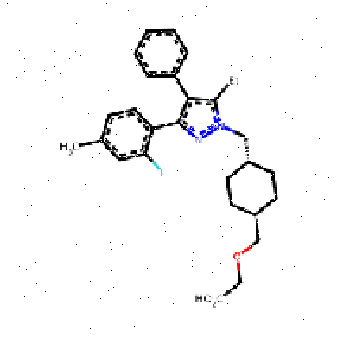 CCc1c(-c2ccccc2)c(-c2ccc(C)cc2F)nn1C[C@H]1CC[C@H](COCC(=O)O)CC1